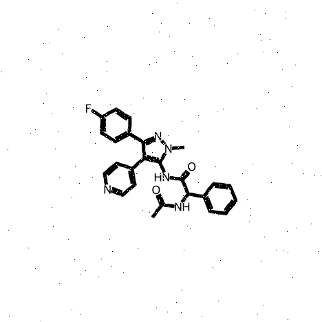 CC(=O)NC(C(=O)Nc1c(-c2ccncc2)c(-c2ccc(F)cc2)nn1C)c1ccccc1